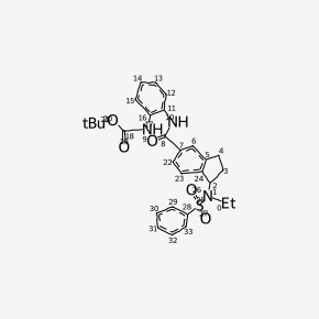 CCN(C1CCc2cc(C(=O)Nc3ccccc3NC(=O)OC(C)(C)C)ccc21)S(=O)(=O)c1ccccc1